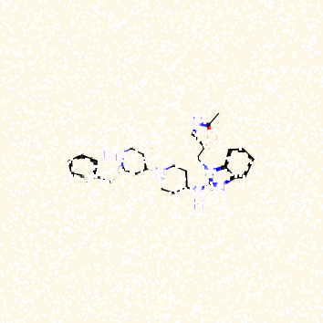 Cc1ncc(Cn2c(NC3CCN([C@H]4CCN[C@H](Cc5ccccc5)C4)CC3)nc3ccccc32)o1